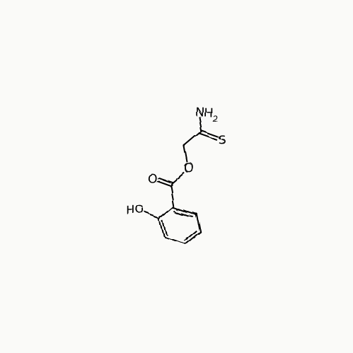 NC(=S)COC(=O)c1ccccc1O